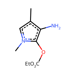 CCOC(=O)Oc1c(N)c(C)cn1C